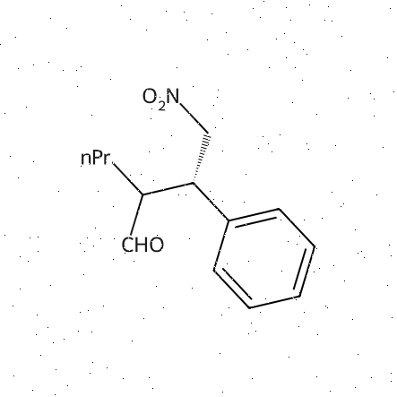 CCCC(C=O)[C@H](C[N+](=O)[O-])c1ccccc1